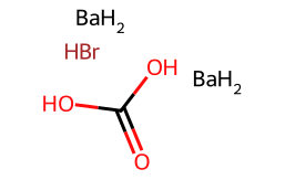 Br.O=C(O)O.[BaH2].[BaH2]